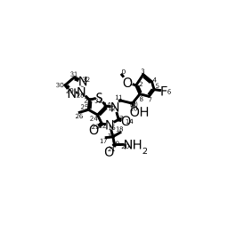 COc1ccc(F)cc1[C@@H](O)Cn1c(=O)n(C(C)(C)C(N)=O)c(=O)c2c(C)c(-n3nccn3)sc21